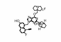 C#Cc1c(F)ccc2cc(O)cc(Cn3cnc4c(OC[C@@]56CCCN5C[C@H](F)C6)nc(N5C[C@H]6CC[C@@H](C5)N6C=O)nc43)c12